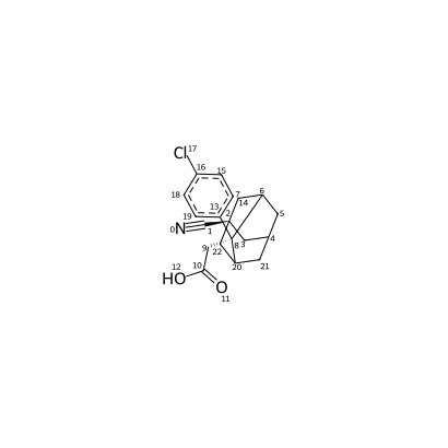 N#C[C@]12CC3CC(C1)[C@](CC(=O)O)(c1ccc(Cl)cc1)C(C3)C2